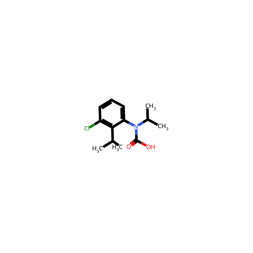 CC(C)c1c(Cl)cccc1N(C(=O)O)C(C)C